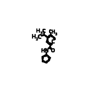 Cc1ccc(C(=O)Nc2ccccc2)cc1C(C)C